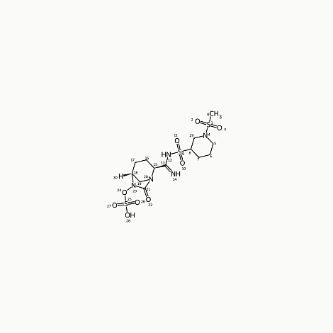 CS(=O)(=O)N1CCCC(S(=O)(=O)NC(=N)[C@@H]2CC[C@@H]3CN2C(=O)N3OS(=O)(=O)O)C1